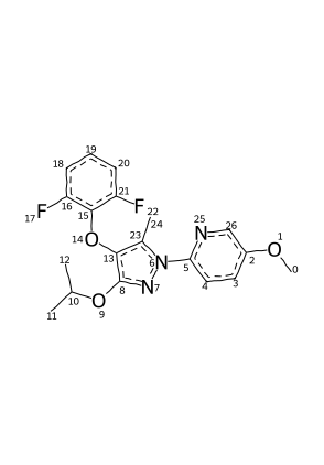 COc1ccc(-n2nc(OC(C)C)c(Oc3c(F)cccc3F)c2C)nc1